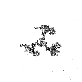 CN[C@@H](C)C(=O)N[C@H](C(=O)N1C[C@@H](n2cc(CCNC(=O)c3cc(C(=O)NCCc4cn([C@H]5C[C@@H](C(=O)N[C@@H]6CCCc7ccccc76)N(C(=O)[C@@H](NC(=O)[C@H](C)NC)C(C)(C)C)C5)nn4)cc(C(=O)NCCc4cn([C@H]5C[C@@H](C(=O)N[C@@H]6CCCc7ccccc76)N(C(=O)[C@@H](NC(=O)[C@H](C)NC)C(C)(C)C)C5)nn4)c3)nn2)C[C@H]1C(=O)N[C@@H]1CCCc2ccccc21)C(C)(C)C